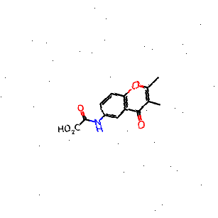 Cc1oc2ccc(NC(=O)C(=O)O)cc2c(=O)c1C